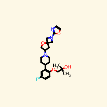 CC(C)(O)COc1ccc(F)cc1C1CCN(C2COC3(C2)CN(c2ncco2)C3)CC1